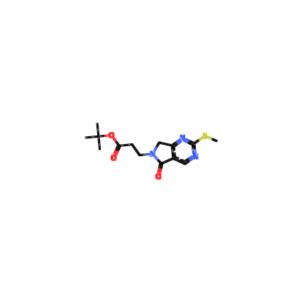 CSc1ncc2c(n1)CN(CCC(=O)OC(C)(C)C)C2=O